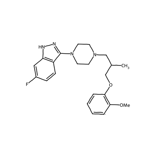 COc1[c]cccc1OCC(C)CN1CCN(c2n[nH]c3cc(F)ccc23)CC1